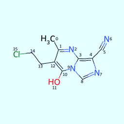 Cc1nc2c(C#N)ncn2c(O)c1CCCl